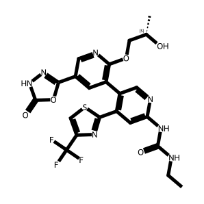 CCNC(=O)Nc1cc(-c2nc(C(F)(F)F)cs2)c(-c2cc(-c3n[nH]c(=O)o3)cnc2OC[C@H](C)O)cn1